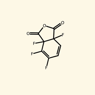 O=C1OC(=O)C2(F)C(F)=C(F)C=CC12F